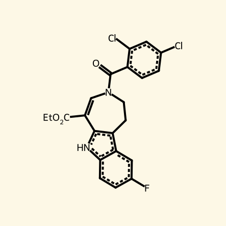 CCOC(=O)C1=CN(C(=O)c2ccc(Cl)cc2Cl)CCc2c1[nH]c1ccc(F)cc21